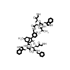 CC1CC2CC(C(=O)N[C@@H](Cc3c[nH]c4ccccc34)C(=O)N[C@@H](CCC(=O)C=N)C(=O)NCc3ccccc3)(C1)CC(C)C2c1cccc(CNC(=O)[C@H](CCC(=O)C=N)NC(=O)[C@H](Cc2c[nH]c3ccccc23)NC(=O)C(C)C)c1